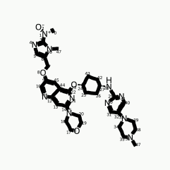 C=[N+]([O-])c1ncc(COc2cnc3cc(N4CCOCC4)nc(O[C@H]4CC[C@@H](Nc5ncc(N6CCN(C)CC6)cn5)CC4)c3c2)n1C